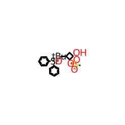 CC(C)(C)[Si](OCC1CC(O)(OS(C)(=O)=O)C1)(c1ccccc1)c1ccccc1